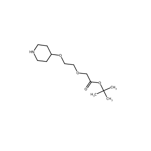 CC(C)(C)OC(=O)COCCOC1CCNCC1